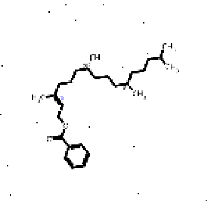 C/C(=C\COC(=O)c1ccccc1)CCC[C@H](C)CCC[C@H](C)CCCC(C)C